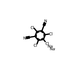 N#Cc1c(Cl)c(Cl)c(Cl)c(C#N)c1Cl.[Na].[Na]